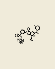 CC(c1cc2c(c(C3CC3)n1)CN(c1cccc(C3(Cc4nncn4C)COC3)c1)C2=O)N1CCC[C@H](C)C1